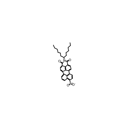 CCCCCCC(CCCCCC)N1C(=O)c2ccc3c4cccc5c([N+](=O)[O-])ccc(c6ccc(c2c36)C1=O)c54